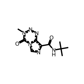 Cn1nnc2c(C(=O)NC(C)(C)C)ncn2c1=O